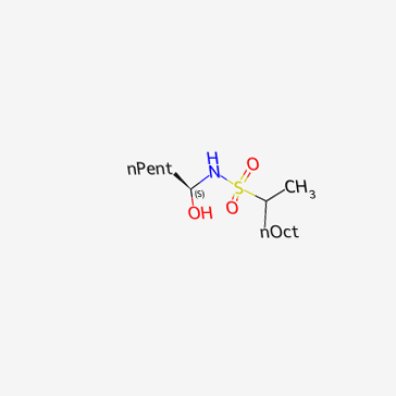 CCCCCCCCC(C)S(=O)(=O)N[C@@H](O)CCCCC